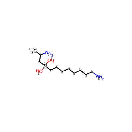 CC(N)C[Si](O)(O)CCCCCCCCN